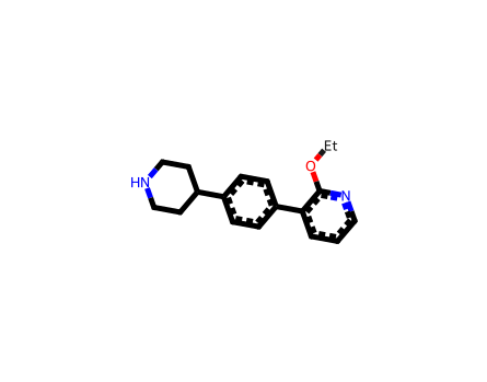 CCOc1ncccc1-c1ccc(C2CCNCC2)cc1